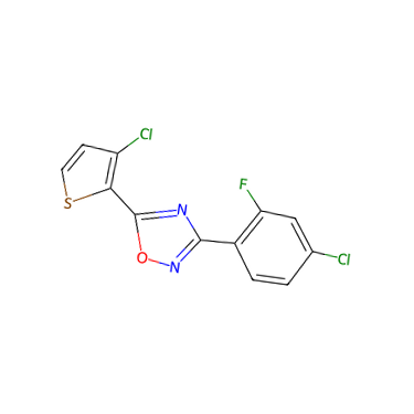 Fc1cc(Cl)ccc1-c1noc(-c2sccc2Cl)n1